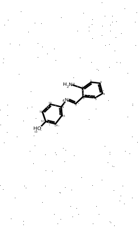 Nc1ccccc1C=Nc1ccc(O)cc1